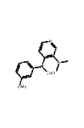 COc1cccc(N(C=O)c2ccncc2N(C)C)c1